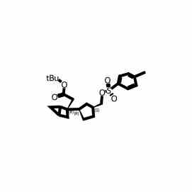 Cc1ccc(S(=O)(=O)OC[C@H]2CC[C@@H]([C@]3(CC(=O)OC(C)(C)C)CC4CC43)C2)cc1